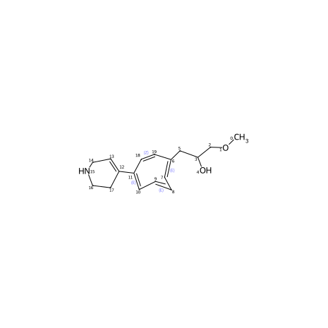 COCC(O)CC1=C\C=C\C=C(C2=CCNCC2)/C=C\1